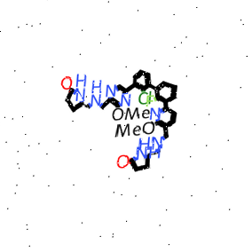 COc1nc(-c2cccc(-c3cccc(-c4cnc(CNC[C@@H]5CCC(=O)N5)c(OC)n4)c3Cl)c2F)ccc1CNC[C@@H]1CCC(=O)N1